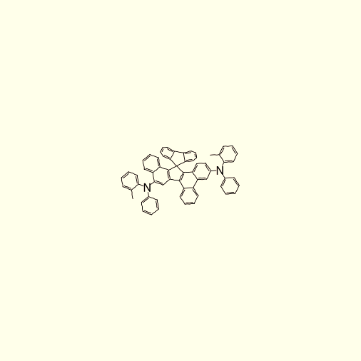 Cc1ccccc1N(c1ccccc1)c1ccc2c3c(c4ccccc4c2c1)-c1cc(N(c2ccccc2)c2ccccc2C)c2ccccc2c1C31c2ccccc2-c2ccccc21